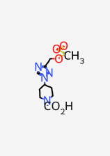 CS(=O)(=O)OCc1ncn(C2CCN(C(=O)O)CC2)n1